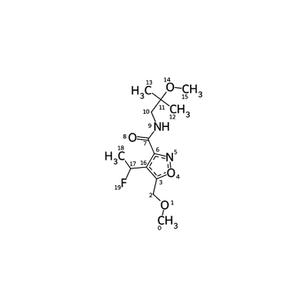 COCc1onc(C(=O)NCC(C)(C)OC)c1C(C)F